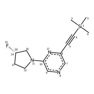 C[Si](C)(C)C#Cc1cncc(N2CC[C@H](F)C2)n1